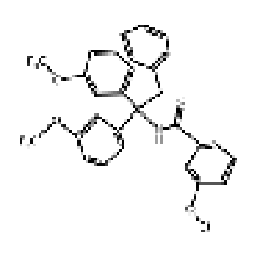 CCOc1cccc(C(=O)NC(Cc2ccccc2)(c2cccc(OC(F)(F)F)c2)c2cccc(OC(F)(F)F)c2)c1